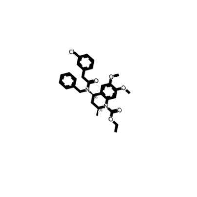 CCOC(=O)N1c2cc(OC)c(OC)cc2[C@H](N(Cc2ccccc2)C(=O)Cc2cccc(Cl)c2)C[C@@H]1C